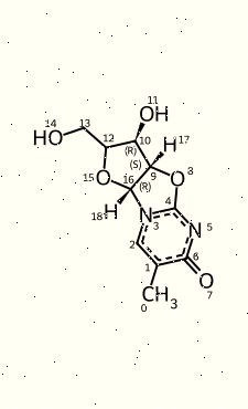 Cc1cn2c(nc1=O)O[C@H]1[C@H](O)C(CO)O[C@H]12